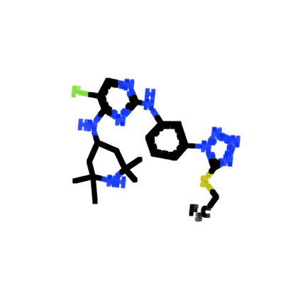 CC1(C)CC(Nc2nc(Nc3cccc(-n4nnnc4SCC(F)(F)F)c3)ncc2F)CC(C)(C)N1